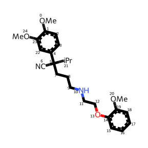 COc1ccc(C(C#N)(CCCNCCOc2ccccc2OC)C(C)C)cc1OC